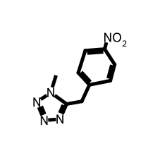 Cn1nnnc1Cc1ccc([N+](=O)[O-])cc1